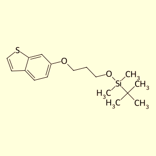 CC(C)(C)[Si](C)(C)OCCCOc1ccc2ccsc2c1